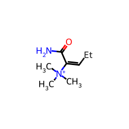 CC/C=C(\C(N)=O)[N+](C)(C)C